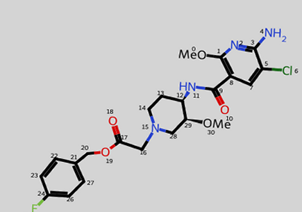 COc1nc(N)c(Cl)cc1C(=O)N[C@@H]1CCN(CC(=O)OCc2ccc(F)cc2)C[C@@H]1OC